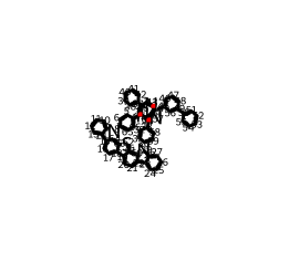 c1ccc(-c2ccc(-n3c4ccccc4c4ccc5c6ccc7c8ccccc8n(-c8ccc(-c9nc(-c%10ccccc%10)nc(-c%10cccc(-c%11ccccc%11)c%10)n9)cc8)c7c6sc5c43)cc2)cc1